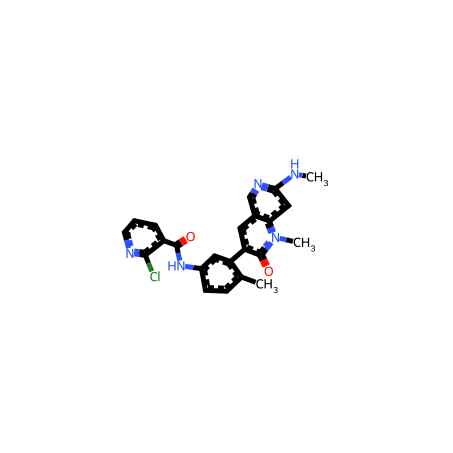 CNc1cc2c(cn1)cc(-c1cc(NC(=O)c3cccnc3Cl)ccc1C)c(=O)n2C